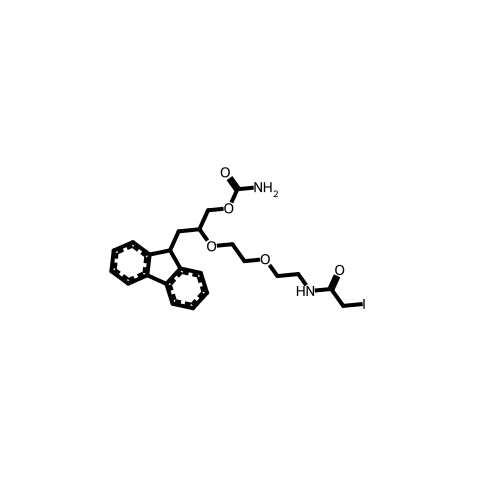 NC(=O)OCC(CC1c2ccccc2-c2ccccc21)OCCOCCNC(=O)CI